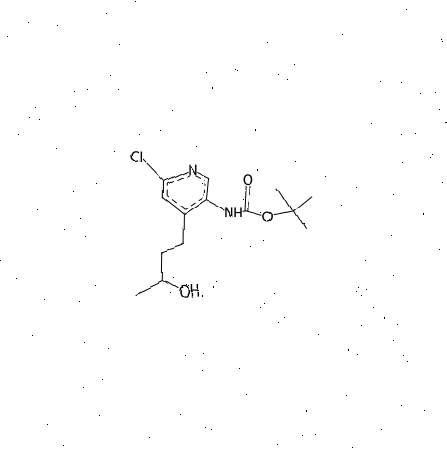 CC(O)CCc1cc(Cl)ncc1NC(=O)OC(C)(C)C